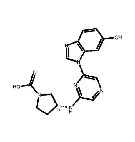 O=C(O)N1CC[C@@H](Nc2cncc(-n3cnc4ccc(O)cc43)n2)C1